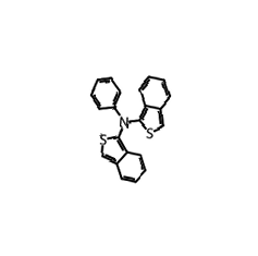 c1ccc(N(c2scc3ccccc23)c2scc3ccccc23)cc1